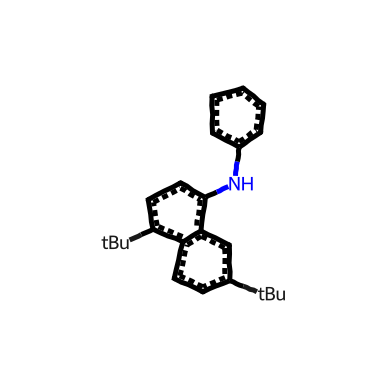 CC(C)(C)c1ccc2c(C(C)(C)C)ccc(Nc3ccccc3)c2c1